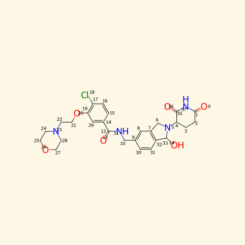 O=C1CCC(N2Cc3cc(CNC(=O)c4ccc(Cl)c(OCCN5CCOCC5)c4)ccc3C2O)C(=O)N1